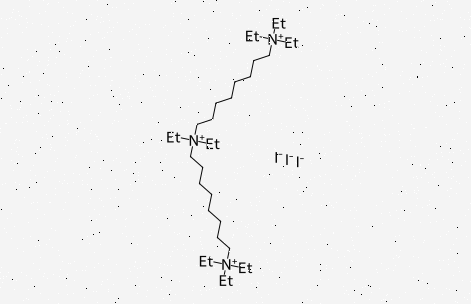 CC[N+](CC)(CC)CCCCCCCC[N+](CC)(CC)CCCCCCCC[N+](CC)(CC)CC.[I-].[I-].[I-]